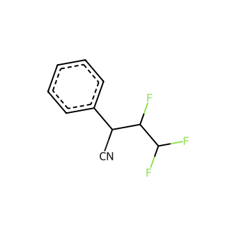 N#CC(c1ccccc1)C(F)C(F)F